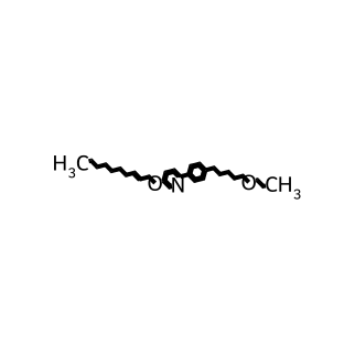 CCCCCCC/C=C/COc1ccc(-c2ccc(CCCCCOCCC)cc2)nc1